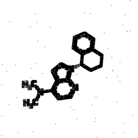 CN(C)c1ccnc2c1ccn2[C@H]1CCCc2ccccc21